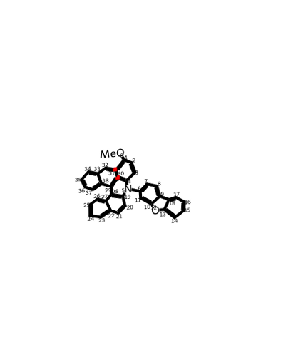 COc1ccc(N(c2ccc3c(c2)oc2ccccc23)c2ccc3ccccc3c2-c2cccc3ccccc23)cc1